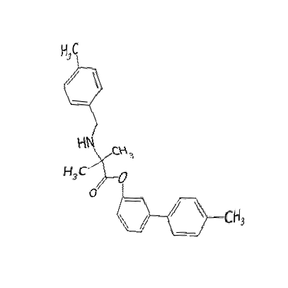 Cc1ccc(CNC(C)(C)C(=O)Oc2cccc(-c3ccc(C)cc3)c2)cc1